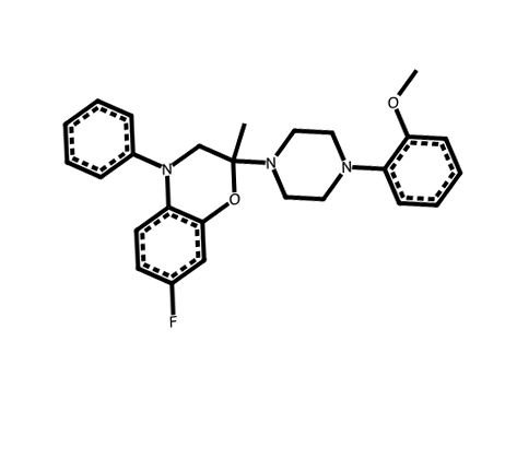 COc1ccccc1N1CCN(C2(C)CN(c3ccccc3)c3ccc(F)cc3O2)CC1